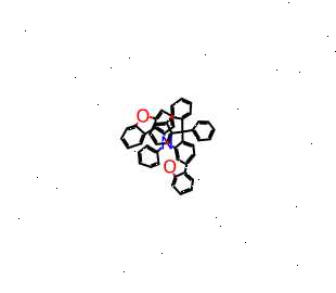 c1ccc(N(c2c(C3(c4ccccc4)c4ccccc4-c4ccccc43)ccc3c2oc2ccccc23)c2cccc3oc4ccccc4c23)cc1